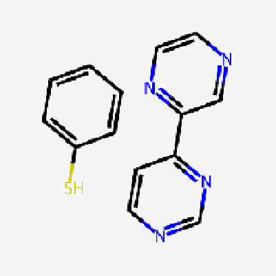 Sc1ccccc1.c1cc(-c2cnccn2)ncn1